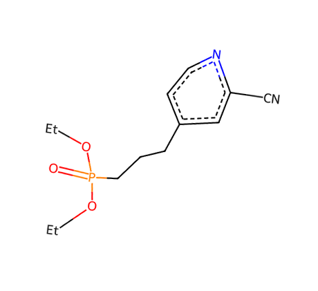 CCOP(=O)(CCCc1ccnc(C#N)c1)OCC